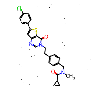 CN(Cc1ccc(CCn2cnc3cc(-c4ccc(Cl)cc4)sc3c2=O)cc1)C(=O)C1CC1